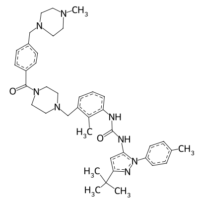 Cc1ccc(-n2nc(C(C)(C)C)cc2NC(=O)Nc2cccc(CN3CCN(C(=O)c4ccc(CN5CCN(C)CC5)cc4)CC3)c2C)cc1